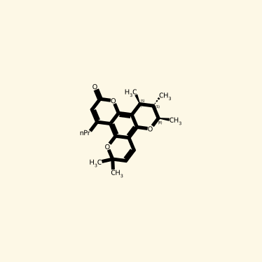 CCCc1cc(=O)oc2c3c(c4c(c12)OC(C)(C)C=C4)O[C@H](C)[C@@H](C)[C@@H]3C